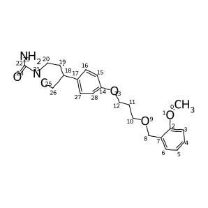 COc1ccccc1COCCCOc1ccc(C2[CH]CN(C(N)=O)CC2)cc1